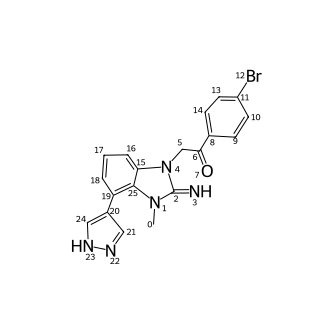 Cn1c(=N)n(CC(=O)c2ccc(Br)cc2)c2cccc(-c3cn[nH]c3)c21